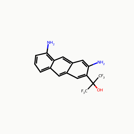 Nc1cc2cc3c(N)cccc3cc2cc1C(O)(C(F)(F)F)C(F)(F)F